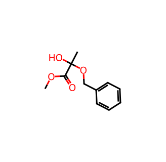 COC(=O)C(C)(O)OCc1ccccc1